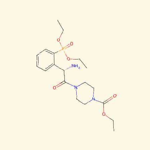 CCOC(=O)N1CCN(C(=O)[C@@H](N)c2ccccc2P(=O)(OCC)OCC)CC1